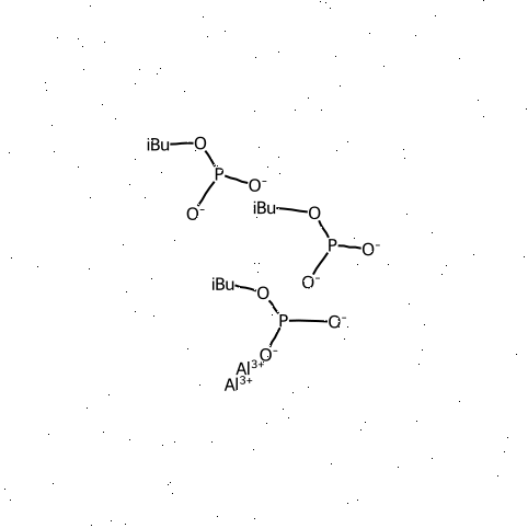 CCC(C)OP([O-])[O-].CCC(C)OP([O-])[O-].CCC(C)OP([O-])[O-].[Al+3].[Al+3]